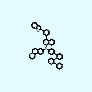 c1ccc(-c2ccccc2-c2ccccc2-c2ccc(N(c3ccc4c(ccc5ccccc54)c3)c3ccc(-c4cccc(-c5cc6ccccc6o5)c4)c4ccccc34)cc2)cc1